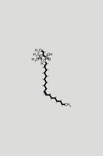 CCCCCCC/C=C\CCCCCCCCCOP(=O)(O)C(CC)[N+](C)(C)C